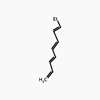 [CH2]C/C=C/C=C/C=C/C=C